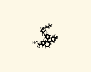 O=C(O)c1ccc2c(c1)CCCC(C1CCC(F)(F)CC1)=C2c1cccc(O[C@@H]2CCN(CCCF)C2)c1